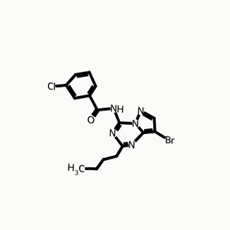 CCCCc1nc(NC(=O)c2cccc(Cl)c2)n2ncc(Br)c2n1